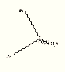 CC(C)CCCCCCCCCCCCCCCC(CCCCCCCCCCCCCCCC(C)C)(CCCCC(=O)O)C(=O)O